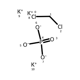 ClCCl.O=P([O-])([O-])[O-].[K+].[K+].[K+]